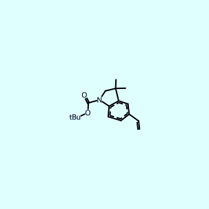 C=Cc1ccc2c(c1)C(C)(C)CN2C(=O)OC(C)(C)C